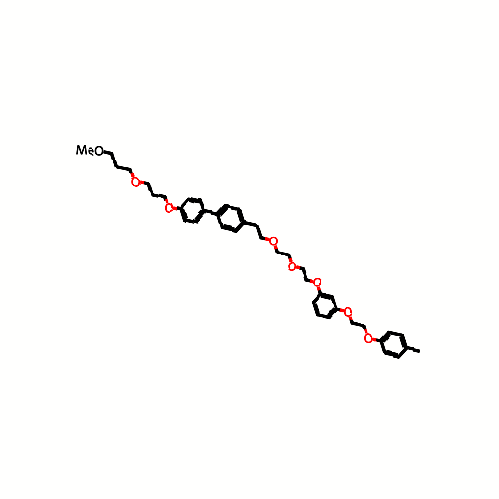 COCCCOCCCOc1ccc(-c2ccc(CCOCCOCCOc3cccc(OCCOc4ccc(C)cc4)c3)cc2)cc1